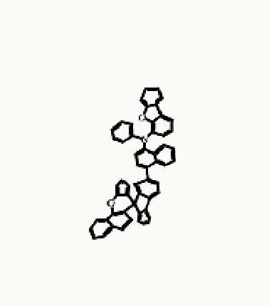 c1ccc(N(c2ccc(-c3ccc4c(c3)C3(c5ccccc5Oc5c3ccc3ccccc53)c3ccccc3-4)c3ccccc23)c2cccc3c2oc2ccccc23)cc1